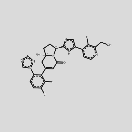 [2H][C@]12CC[C@@H](c3ncc(-c4ccnc(CO)c4F)[nH]3)N1C(=O)C=C(c1c(-n3cnnn3)ccc(Cl)c1F)C2